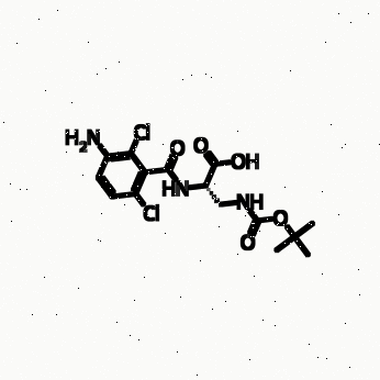 CC(C)(C)OC(=O)NC[C@H](NC(=O)c1c(Cl)ccc(N)c1Cl)C(=O)O